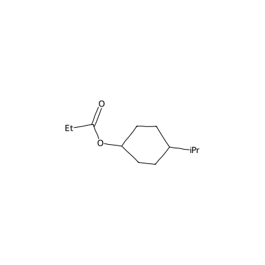 CCC(=O)OC1CCC(C(C)C)CC1